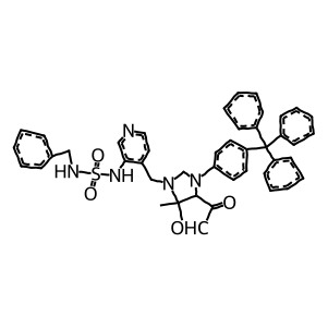 CC1(C)C(C(=O)C=O)N(c2ccc(C(c3ccccc3)(c3ccccc3)c3ccccc3)cc2)CN1Cc1ccncc1NS(=O)(=O)NCc1ccccc1